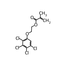 C=C(C)C(=O)OCCOc1cc(Cl)c(Cl)c(Cl)c1Cl